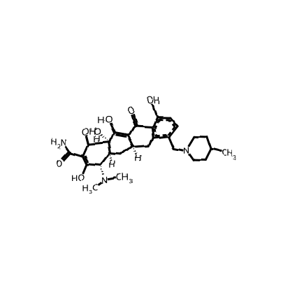 CC1CCN(Cc2ccc(O)c3c2C[C@H]2C[C@H]4[C@H](N(C)C)C(O)=C(C(N)=O)C(O)[C@@]4(O)C(O)=C2C3=O)CC1